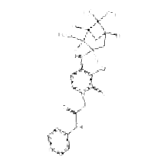 C[C@@H]1[C@H]2C[C@@H](C[C@H]1Nc1cnn(CC(=O)Nc3ccncc3)c(=O)c1Cl)C2(C)C